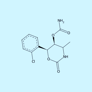 CC1NC(=O)O[C@@H](c2ccccc2Cl)[C@H]1OC(N)=O